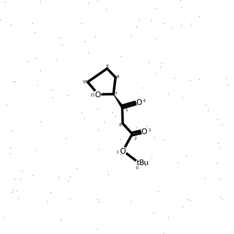 CC(C)(C)OC(=O)CC(=O)[C@@H]1CCCO1